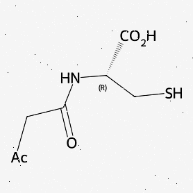 CC(=O)CC(=O)N[C@@H](CS)C(=O)O